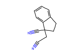 N#CCC1(C#N)CCc2ccccc21